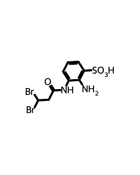 Nc1c(NC(=O)CC(Br)Br)cccc1S(=O)(=O)O